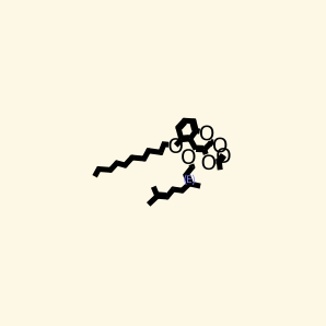 CCCCCCCCCCOc1cccc2oc(=O)c(OC(C)=O)c(OC/C=C(\C)CCC=C(C)C)c12